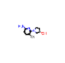 N#Cc1ccc(N)nc1N1CC[C@@H](O)C1